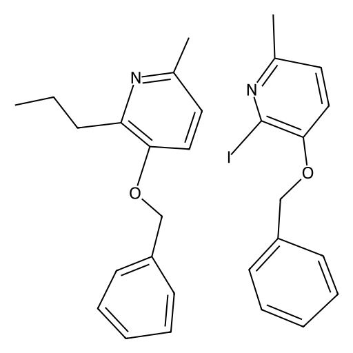 CCCc1nc(C)ccc1OCc1ccccc1.Cc1ccc(OCc2ccccc2)c(I)n1